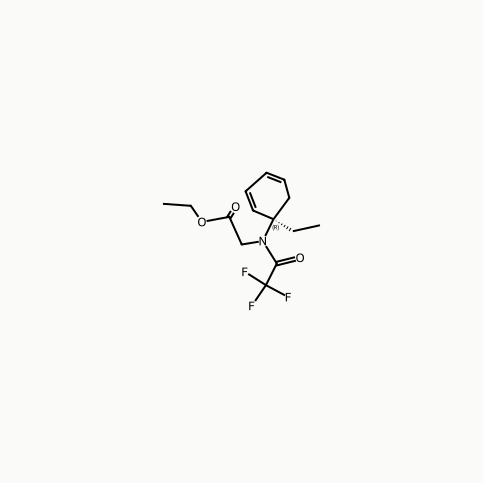 CCOC(=O)CN(C(=O)C(F)(F)F)[C@@]1(CC)C=CC=CC1